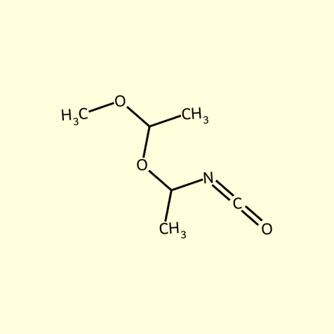 COC(C)OC(C)N=C=O